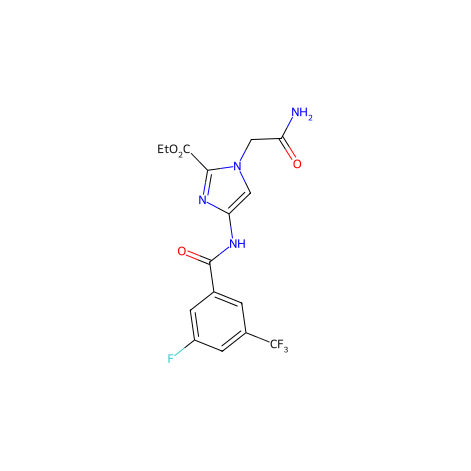 CCOC(=O)c1nc(NC(=O)c2cc(F)cc(C(F)(F)F)c2)cn1CC(N)=O